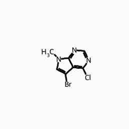 Cn1cc(Br)c2c(Cl)ncnc21